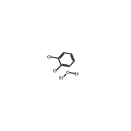 CCOCC.Clc1ccccc1Cl